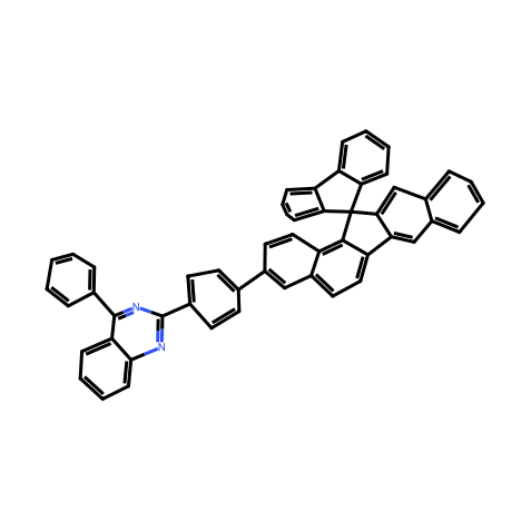 c1ccc(-c2nc(-c3ccc(-c4ccc5c6c(ccc5c4)-c4cc5ccccc5cc4C64c5ccccc5-c5ccccc54)cc3)nc3ccccc23)cc1